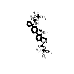 CC(C)(C)OC(=O)NC1(c2ccc(-c3ccc4c(cnn4C(=O)OC(C)(C)C)c3[N+](=O)[O-])cc2)CCCC1